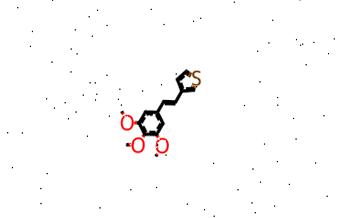 COc1cc(/C=C/c2ccsc2)cc(OC)c1OC